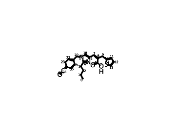 CCCCc1nc(C=C(Cc2cccs2)C(=O)O)cn1CC1=CCC(=C=O)C=C1